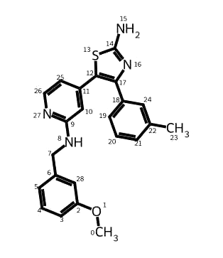 COc1cccc(CNc2cc(-c3sc(N)nc3-c3cccc(C)c3)ccn2)c1